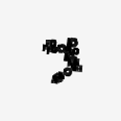 CN1CCN(c2ccc(Nc3ncc4c(=O)n5c(nc4n3)c3cc(OC(=O)C(F)(F)F)ccc3n5-c3ccccn3)cc2)CC1